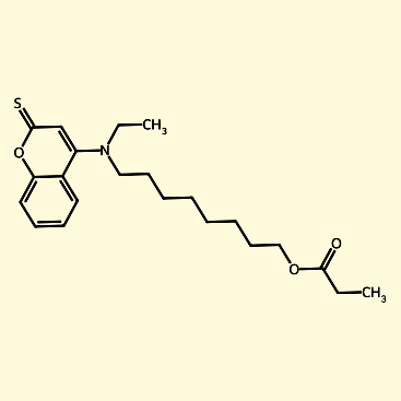 CCC(=O)OCCCCCCCCN(CC)c1cc(=S)oc2ccccc12